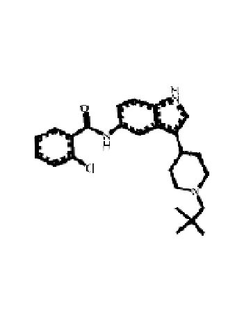 CC(C)(C)CN1CCC(c2c[nH]c3ccc(NC(=O)c4ccccc4Cl)cc23)CC1